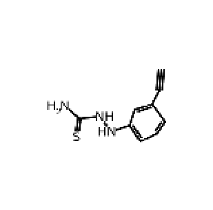 C#Cc1cccc(NNC(N)=S)c1